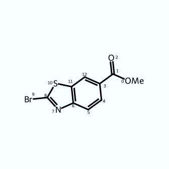 COC(=O)c1ccc2nc(Br)sc2c1